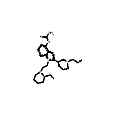 CCCN1CCCC(c2nc3c(OC(N)=O)cccc3n2CCN2CCCCC2CC)C1